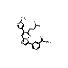 CNC(=O)c1cncc(-c2cnc3cc(-c4cnn(C)c4)c(OCC(F)F)nn23)c1